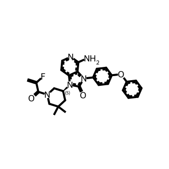 C=C(F)C(=O)N1C[C@@H](n2c(=O)n(-c3ccc(Oc4ccccc4)cc3)c3c(N)nccc32)CC(C)(C)C1